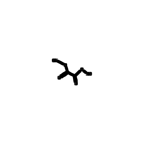 O=NOC(=O)C(=O)ON=O